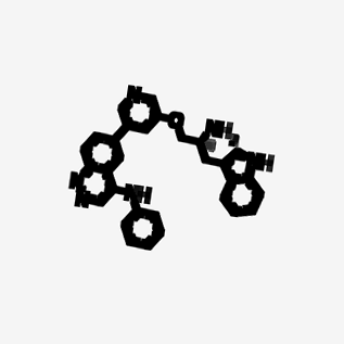 N[C@H](COc1cncc(-c2ccc3nncc(Nc4ccccc4)c3c2)c1)Cc1c[nH]c2ccccc12